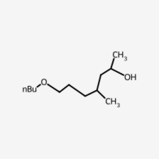 CCCCOCCCC(C)CC(C)O